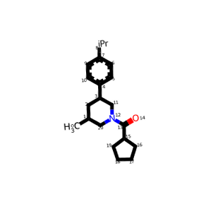 CC1CC(c2ccc(C(C)C)cc2)CN(C(=O)C2CCCC2)C1